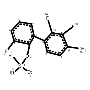 CC[Si](CC)(CC)Oc1c(F)cccc1-c1ccc(C)c(F)c1F